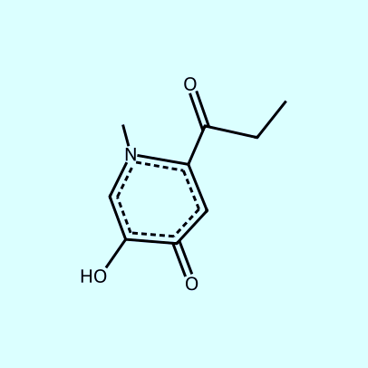 CCC(=O)c1cc(=O)c(O)cn1C